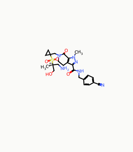 Cn1nc(C(=O)NCc2ccc(C#N)cc2)c2c1C(=O)N(CC1(S(=O)(=O)[C@](C)(CN)CO)CC1)CC2